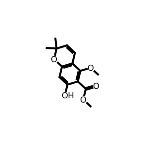 COC(=O)c1c(O)cc2c(c1OC)C=CC(C)(C)O2